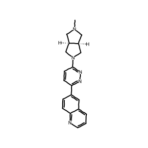 CN1C[C@@H]2CN(c3ccc(-c4ccc5ncccc5c4)nn3)C[C@@H]2C1